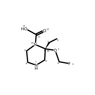 CC[C@@]1(OCF)CNCCN1C(=O)O